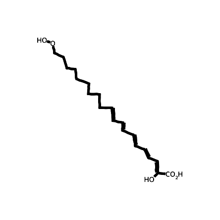 O=C(O)C(O)=CC=CC=CC=CC=CCCCCCCCCCOO